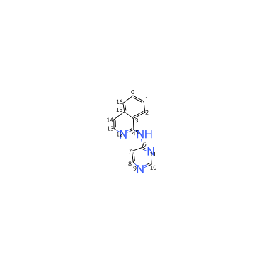 c1ccc2c(Nc3ccncn3)nccc2c1